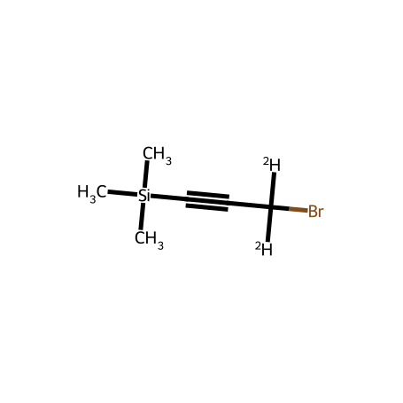 [2H]C([2H])(Br)C#C[Si](C)(C)C